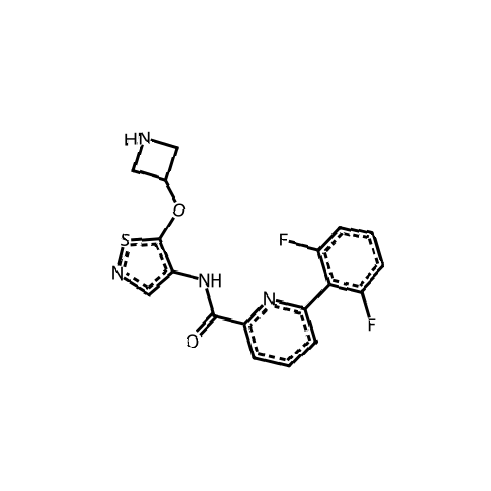 O=C(Nc1cnsc1OC1CNC1)c1cccc(-c2c(F)cccc2F)n1